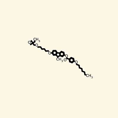 CCCCCCCCOc1ccc(C(=O)Oc2ccc3c(c2)C(C)c2cc(OCCCCCCOCC4(CC)COC4)ccc2-3)cc1